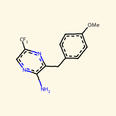 COc1ccc(Cc2nc(C(F)(F)F)cnc2N)cc1